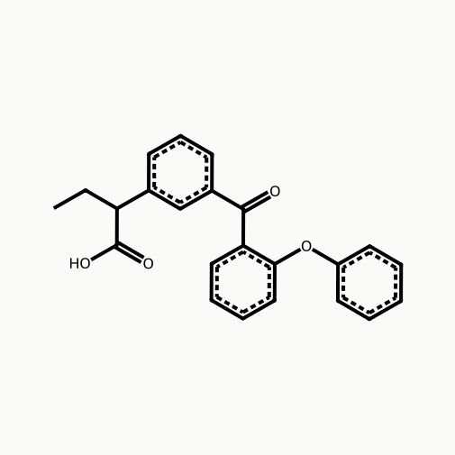 CCC(C(=O)O)c1cccc(C(=O)c2ccccc2Oc2ccccc2)c1